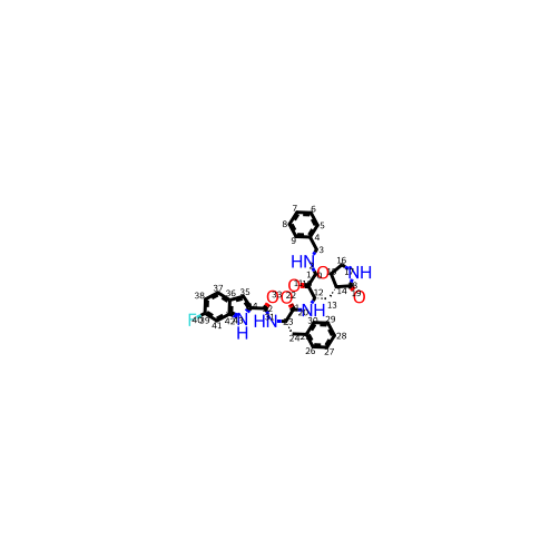 O=C(NCc1ccccc1)C(=O)[C@H](C[C@@H]1CCNC1=O)NC(=O)[C@H](Cc1ccccc1)NC(=O)c1cc2ccc(F)cc2[nH]1